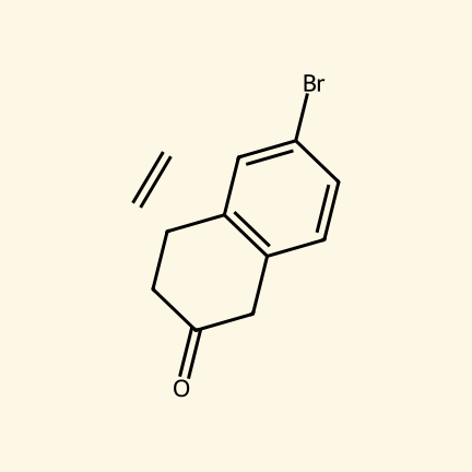 C=C.O=C1CCc2cc(Br)ccc2C1